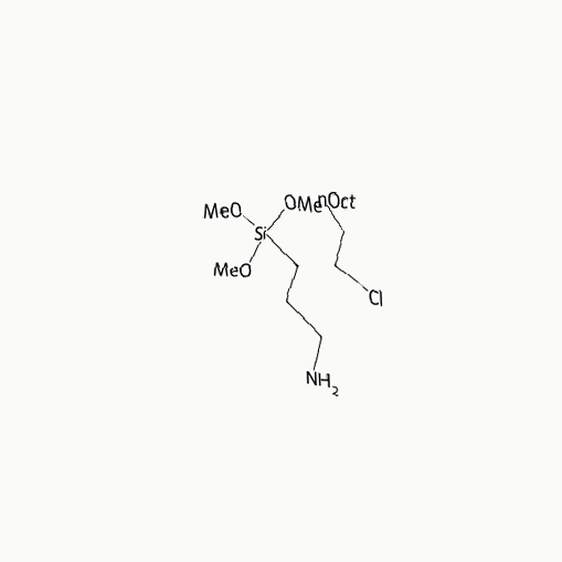 CCCCCCCCCCCl.CO[Si](CCCN)(OC)OC